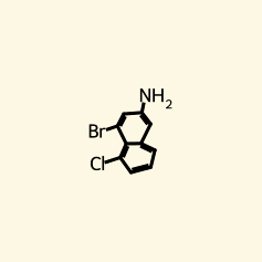 Nc1cc(Br)c2c(Cl)cccc2c1